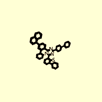 c1ccc(-c2ccc(-c3nc(-c4ccc(-c5cccc6ccccc56)cc4-c4ccccc4)nc(-c4cccc5c4sc4ccccc45)n3)cc2)cc1